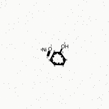 C=O.Oc1ccccc1.[Ni]